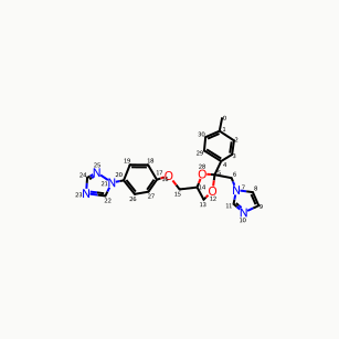 Cc1ccc(C2(Cn3ccnc3)OCC(COc3ccc(-n4cncn4)cc3)O2)cc1